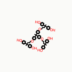 CC(CCCOc1ccc(C(C)(c2ccc(OCCCC(C)(c3ccc(O)cc3)c3ccc(O)cc3)cc2)c2ccc(OCCCC(C)(c3ccc(O)cc3)c3ccc(O)cc3)cc2)cc1)(c1ccc(O)cc1)c1ccc(O)cc1